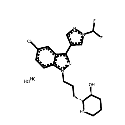 Cl.Cl.O[C@H]1CCCN[C@@H]1CCCn1nc(-c2cnn(C(F)F)c2)c2cc(Cl)ccc21